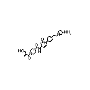 C=C(CO)C(=O)N1CCN(C(=O)Nc2ccn(-c3ccc(CCN4CC[C@@H](N)C4)cc3)c(=O)n2)CC1